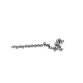 CCCOCCOCCOCCOCCOCCOCCOCCOCCOCCC(=O)NCC(C)(C)SSc1ccc(COC(=O)N[C@H]2CCc3c(C)c(F)cc4nc5c(c2c34)Cn2c-5cc3c(c2=O)COC(=O)[C@]3(O)CC)cc1